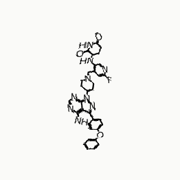 Nc1ncnc2c1c(-c1ccc(Oc3ccccc3)cc1)nn2C1CCN(Cc2cc(F)ncc2NC2CCC(=O)NC2=O)CC1